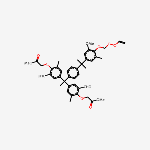 C=COOCOc1c(C)cc(C(C)(C)c2ccc(C(C)(c3cc(C)c(OCC(=O)OC)c(C=O)c3)c3cc(C)c(OCC(=O)OC)c(C=O)c3)cc2)cc1OC